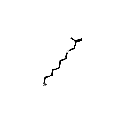 C=C(C)COCCCCCCO